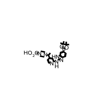 CC(c1ccnc(Nc2nc3ccc(B4OC(C)(C)C(C)(C)O4)cc3[nH]2)c1)N1CCN(C(=O)O)CC1